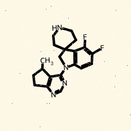 CC1CCc2ncnc(N3CC4(CCNCC4)c4c3ccc(F)c4F)c21